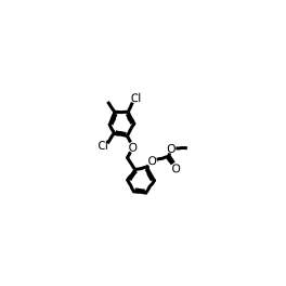 COC(=O)Oc1ccccc1COc1cc(Cl)c(C)cc1Cl